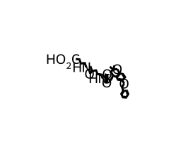 CC1(C)CC(CS(=O)(=O)NCCCC(=O)CNCCCC(=O)O)c2cc(OCc3ccccc3)ccc2O1